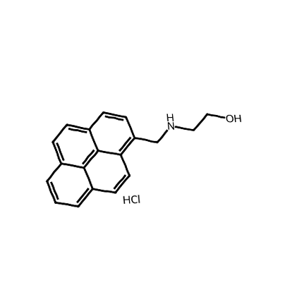 Cl.OCCNCc1ccc2ccc3cccc4ccc1c2c34